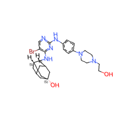 OCCN1CCN(c2ccc(Nc3ncc(Br)c(N[C@@H]4C5CC6C[C@H]4C[C@](O)(C6)C5)n3)cc2)CC1